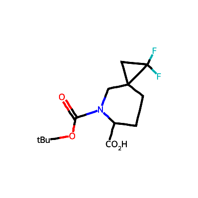 CC(C)(C)OC(=O)N1CC2(CCC1C(=O)O)CC2(F)F